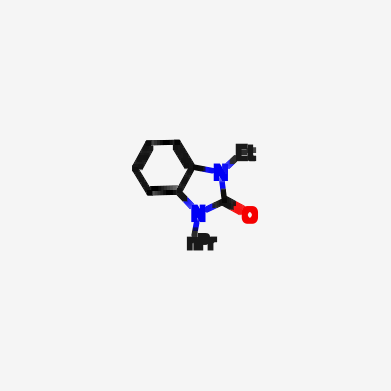 CCCn1c(=O)n(CC)c2ccccc21